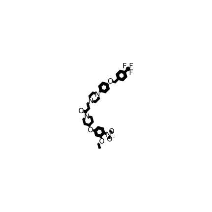 CCOc1cc(OC2CCN(C(=O)CCN3CCN(c4ccc(OCc5ccc(C(F)(F)F)cc5)cc4)CC3)CC2)ccc1[N+](=O)[O-]